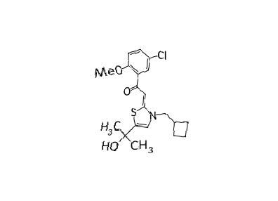 COc1ccc(Cl)cc1C(=O)/C=C1\SC(C(C)(C)O)=CN1CC1CCC1